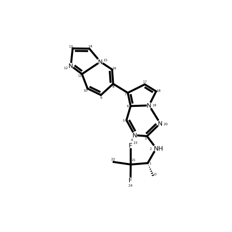 C[C@@H](Nc1ncc2c(-c3ccc4nccn4c3)ccn2n1)C(C)(F)F